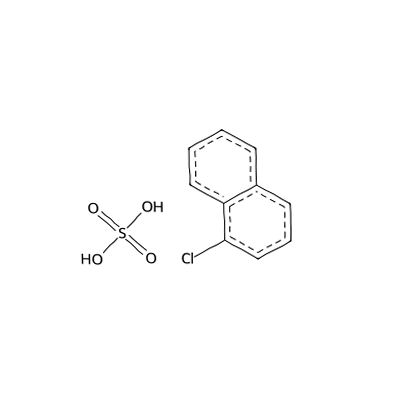 Clc1cccc2ccccc12.O=S(=O)(O)O